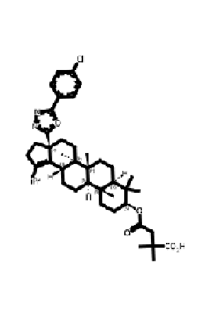 CC(C)C1=C2[C@H]3CC[C@@H]4[C@@]5(C)CC[C@H](OC(=O)CC(C)(C)C(=O)O)C(C)(C)[C@@H]5CC[C@@]4(C)[C@]3(C)CC[C@@]2(c2nnc(-c3ccc(Cl)cc3)o2)CC1